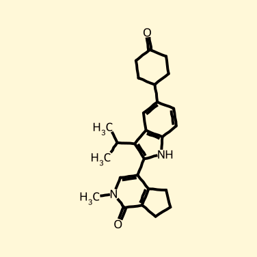 CC(C)c1c(-c2cn(C)c(=O)c3c2CCC3)[nH]c2ccc(C3CCC(=O)CC3)cc12